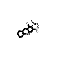 O=c1c2cc3ccccc3[nH]c-2cc([N+](=O)[O-])c1[N+](=O)[O-]